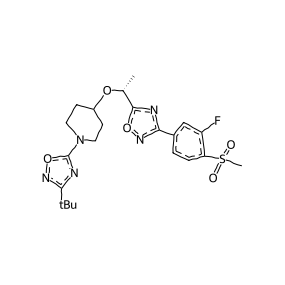 C[C@@H](OC1CCN(c2nc(C(C)(C)C)no2)CC1)c1nc(-c2ccc(S(C)(=O)=O)c(F)c2)no1